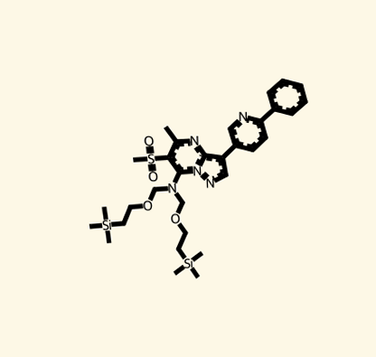 Cc1nc2c(-c3ccc(-c4ccccc4)nc3)cnn2c(N(COCC[Si](C)(C)C)COCC[Si](C)(C)C)c1S(C)(=O)=O